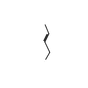 CC=CC[SiH3]